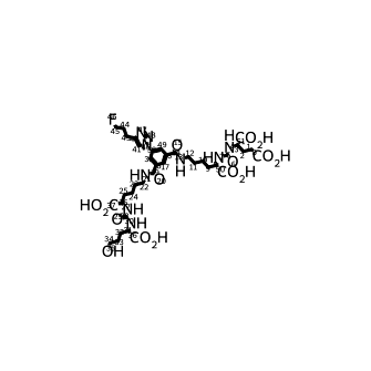 O=C(O)CCC(NC(=O)NC(CCCCNC(=O)c1cc(C(=O)NCCCCC(NC(=O)NC(CCCO)C(=O)O)C(=O)O)cc(-n2cc(CCCF)nn2)c1)C(=O)O)C(=O)O